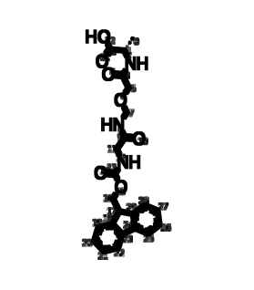 C[C@H](NC(=O)COCNC(=O)CNC(=O)OCC1c2ccccc2-c2ccccc21)C(=O)O